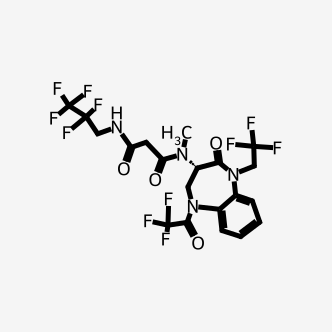 CN(C(=O)CC(=O)NCC(F)(F)C(F)(F)F)[C@H]1CN(C(=O)C(F)(F)F)c2ccccc2N(CC(F)(F)F)C1=O